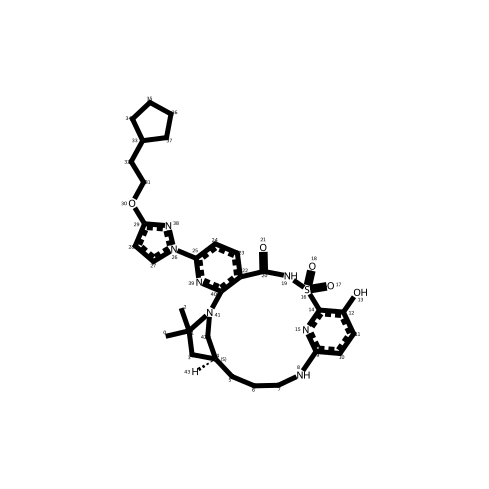 CC1(C)C[C@@H]2CCCNc3ccc(O)c(n3)S(=O)(=O)NC(=O)c3ccc(-n4ccc(OCCC5CCCC5)n4)nc3N1C2